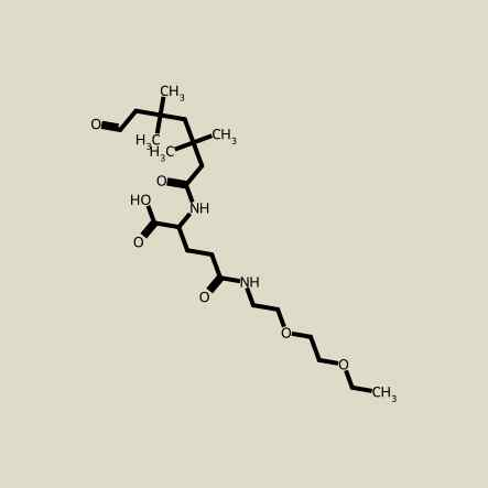 CCOCCOCCNC(=O)CCC(NC(=O)CC(C)(C)CC(C)(C)CC=O)C(=O)O